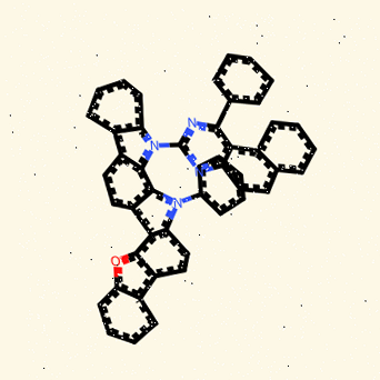 c1ccc(-c2nc(-n3c4ccccc4c4ccc5c6c7oc8ccccc8c7ccc6n(-c6ccccc6)c5c43)nc3ccc4ccccc4c23)cc1